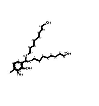 Cc1ccc(C(SCCCCCCCCS)SCCCCCCCCS)c(O)c1O